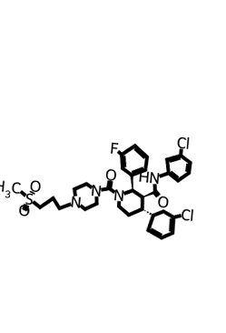 CS(=O)(=O)CCCN1CCN(C(=O)N2CC[C@@H](C3C=CC=C(Cl)C3)[C@H](C(=O)Nc3cccc(Cl)c3)[C@@H]2c2cccc(F)c2)CC1